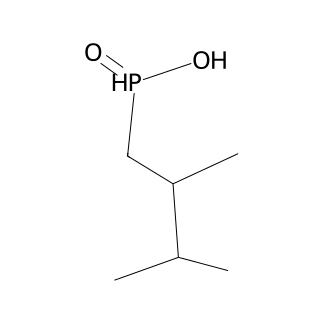 CC(C)C(C)C[PH](=O)O